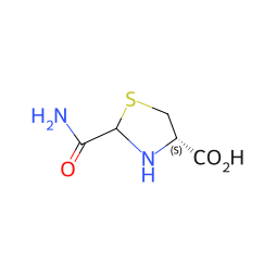 NC(=O)C1N[C@@H](C(=O)O)CS1